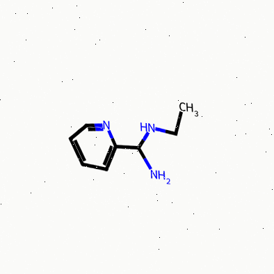 CCNC(N)c1ccccn1